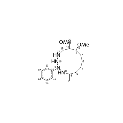 COC1CCCCC(C)NN(c2ccccc2)NNCC1OC